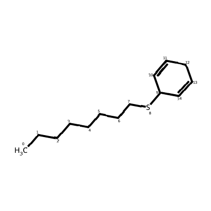 CCCCCCCCSC1C=CCC=C1